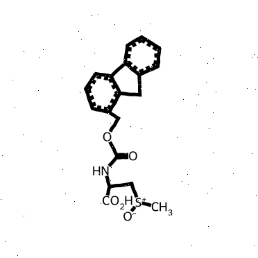 C[S+]([O-])CC(NC(=O)OCc1cccc2c1Cc1ccccc1-2)C(=O)O